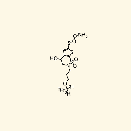 [2H]C([2H])([2H])OCCCN1CC(O)c2cc(SOON)sc2S1(=O)=O